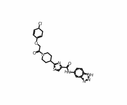 O=C(Nc1ccc2[nH]nnc2c1)c1csc(C2CCN(C(=O)COC3=CCC(Cl)C=C3)CC2)n1